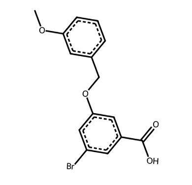 COc1cccc(COc2cc(Br)cc(C(=O)O)c2)c1